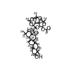 CC(=O)OCC1O[C@H](NC(=O)[C@]23CCC(C)(C)CC2C2=CCC4[C@@]5(C)CC[C@H](O)C(C)(C)C5CC[C@@]4(C)[C@]2(C)CC3)C(OC(C)=O)C(OC(C)=O)[C@@H]1OC(C)=O